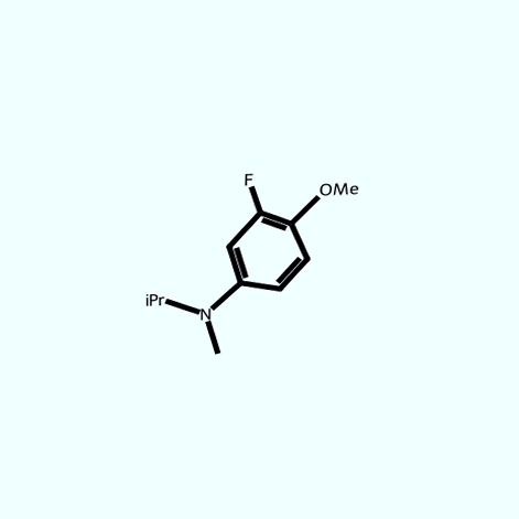 COc1ccc(N(C)C(C)C)cc1F